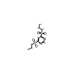 CCCS(=O)(=O)c1cc(S(=O)(=O)CCC)ncn1